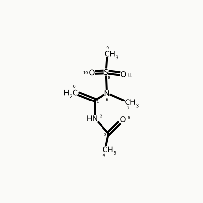 C=C(NC(C)=O)N(C)S(C)(=O)=O